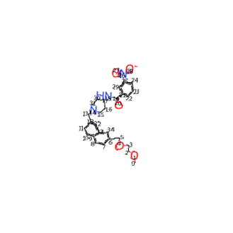 COCCOCc1ccc2ccc(CN3CCC(NC(=O)c4cccc([N+](=O)[O-])c4)CC3)cc2c1